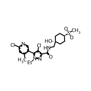 CCn1nc(C(=O)NC[C@]2(O)CC[C@H](S(C)(=O)=O)CC2)c(Cl)c1-c1cnc(Cl)cc1C